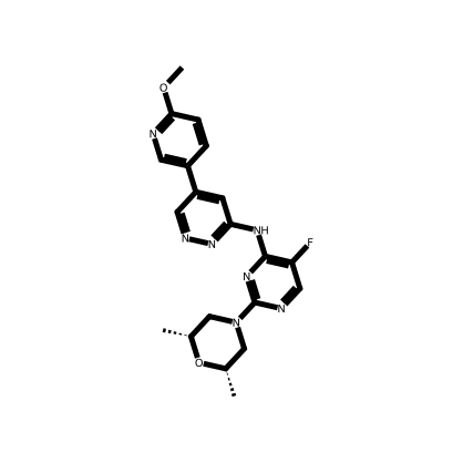 COc1ccc(-c2cnnc(Nc3nc(N4C[C@@H](C)O[C@@H](C)C4)ncc3F)c2)cn1